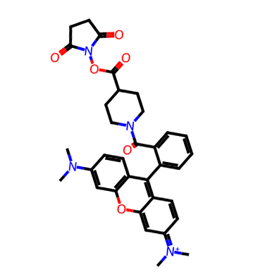 CN(C)c1ccc2c(-c3ccccc3C(=O)N3CCC(C(=O)ON4C(=O)CCC4=O)CC3)c3ccc(=[N+](C)C)cc-3oc2c1